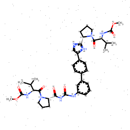 COC(=O)N[C@H](C(=O)N1CCC[C@H]1C(=O)NC(=O)Nc1cccc(-c2ccc(-c3cnc([C@@H]4CCCN4C(=O)[C@@H](NC(=O)OC)C(C)C)[nH]3)cc2)c1)C(C)C